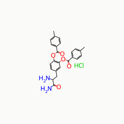 Cc1ccc(C(=O)Oc2ccc(CC(N)C(N)=O)cc2OC(=O)c2ccc(C)cc2)cc1.Cl